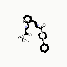 O=C(/C=C/c1ncccc1/C=C/C(=O)N1CCN(c2ccccc2)CC1)NO